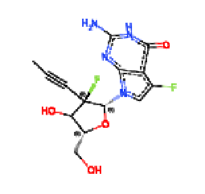 CC#C[C@@]1(F)C(O)[C@@H](CO)O[C@H]1n1cc(F)c2c(=O)[nH]c(N)nc21